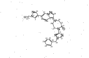 Cn1cc(-c2cnc3c(N4CCC(=O)N(c5ncn(Cc6ccccc6)n5)CC4)cnn3c2)cn1